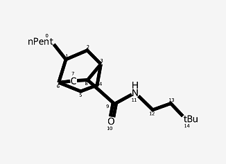 CCCCCC1CC2CCC1CC2C(=O)NCCC(C)(C)C